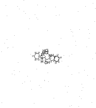 CCC1(NC[C@@H](O)[C@@H](N)Cc2ccccc2)CCCCC1.Cl.Cl